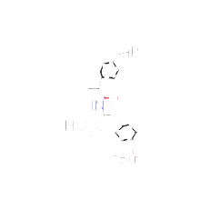 CC(C)Cc1ccc(C(C)C(=O)NC(Cc2ccc(OC(C)(C)C)cc2)C(=O)O)cc1